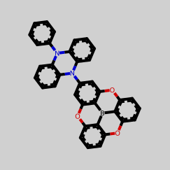 c1ccc(N2c3ccccc3N(c3cc4c5c(c3)Oc3cccc6c3B5c3c(cccc3O4)O6)c3ccccc32)cc1